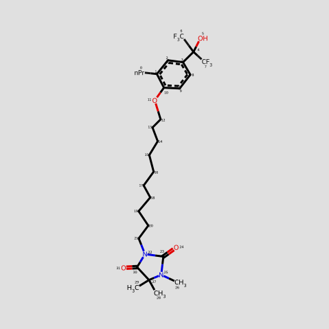 CCCc1cc(C(O)(C(F)(F)F)C(F)(F)F)ccc1OCCCCCCCCCCN1C(=O)N(C)C(C)(C)C1=O